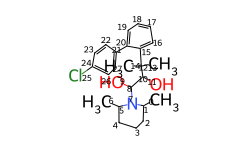 CC1CCCC(C)N1C(O)C(O)C(C)(C)c1ccccc1-c1ccc(Cl)cc1